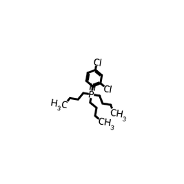 CCCC[PH](CCCC)(CCCC)c1ccc(Cl)cc1Cl